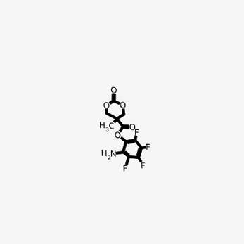 CC1(C(=O)Oc2c(N)c(F)c(F)c(F)c2F)COC(=O)OC1